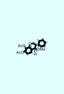 CO[C@@]1(O)c2ccc(OC(C)=O)c(OC(C)=O)c2OC[C@H]1c1ccccc1